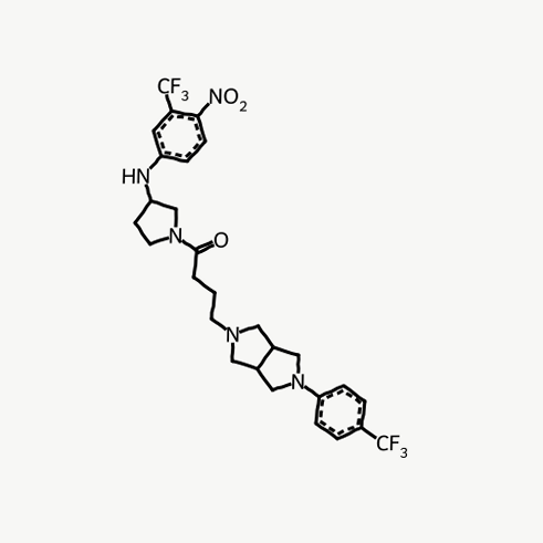 O=C(CCCN1CC2CN(c3ccc(C(F)(F)F)cc3)CC2C1)N1CCC(Nc2ccc([N+](=O)[O-])c(C(F)(F)F)c2)C1